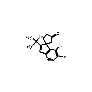 CC(C)(C)C1=Nc2ncc(Br)c(Cl)c2C12CCC(=O)C2